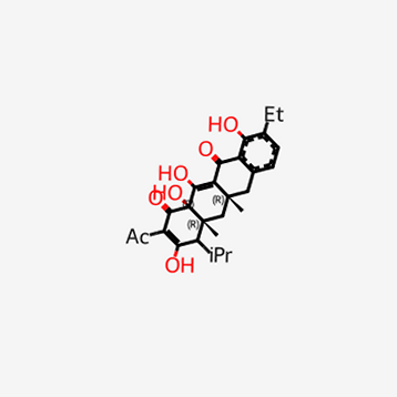 CCc1ccc2c(c1O)C(=O)C1=C(O)[C@@]3(O)C(=O)C(C(C)=O)=C(O)C(C(C)C)[C@@]3(C)C[C@@]1(C)C2